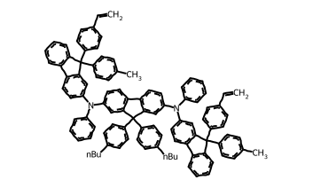 C=Cc1ccc(C2(c3ccc(C)cc3)c3ccccc3-c3ccc(N(c4ccccc4)c4ccc5c(c4)C(c4ccc(CCCC)cc4)(c4ccc(CCCC)cc4)c4cc(N(c6ccccc6)c6ccc7c(c6)C(c6ccc(C)cc6)(c6ccc(C=C)cc6)c6ccccc6-7)ccc4-5)cc32)cc1